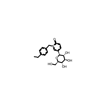 CCc1ccc(Cn2cc([C@@H]3O[C@H](CO)[C@@H](O)[C@H](O)[C@H]3O)ccc2=O)cc1